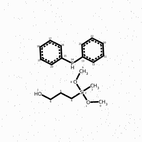 CO[Si](C)(CCCO)OC.c1ccc(Pc2ccccc2)cc1